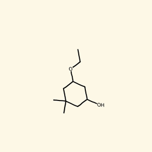 CCOC1CC(O)CC(C)(C)C1